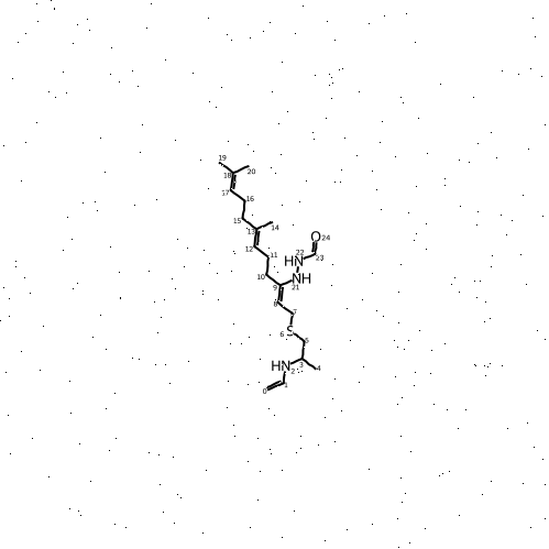 C=CNC(C)CSC/C=C(/CC/C=C(\C)CCC=C(C)C)NNC=O